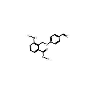 COC(=O)c1cccc(NO)c1COc1ccc(C=O)cc1